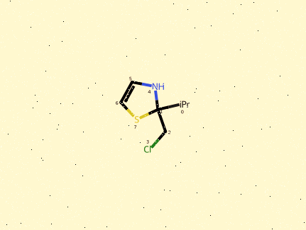 CC(C)C1(CCl)NC=CS1